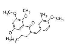 CCCC(=Cc1ccc(OC)c(N)c1)C(=O)c1cc(OC)cc(OC)c1OC